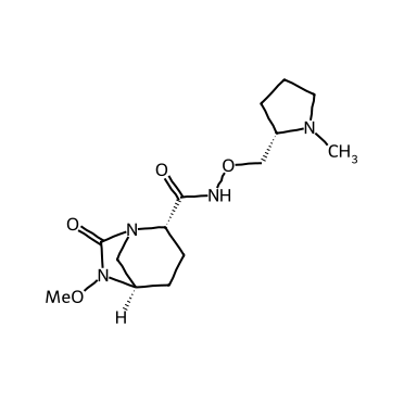 CON1C(=O)N2C[C@H]1CC[C@H]2C(=O)NOC[C@@H]1CCCN1C